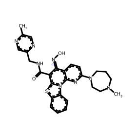 Cc1cnc(CNC(=O)c2/c(=N/O)c3ccc(N4CCCN(C)CC4)nc3n3c2sc2ccccc23)cn1